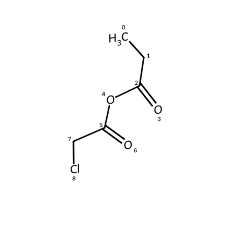 CCC(=O)OC(=O)CCl